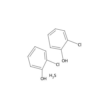 Oc1ccccc1Cl.Oc1ccccc1Cl.S